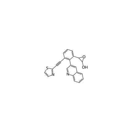 OC1OC1c1cccc(C#Cc2nccs2)c1-c1cnc2ccccc2c1